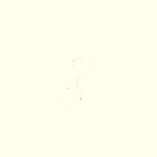 Clc1cncc(C2CN3CCC2C3)n1